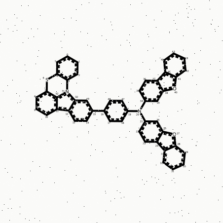 c1ccc2c(c1)Sc1cccc3c4ccc(-c5ccc(N(c6ccc7c(c6)oc6ccccc67)c6ccc7c(c6)oc6ccccc67)cc5)cc4n-2c13